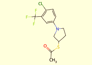 CC(=O)SC1CCN(c2ccc(Cl)c(C(F)(F)F)c2)C1